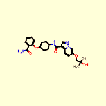 CC(C)(O)COc1ccc2c(C(=O)NC3CCC(Oc4ccccc4C(N)=O)CC3)cnn2c1